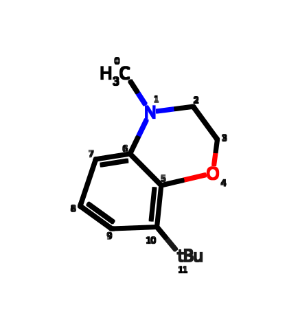 CN1CCOc2c1cccc2C(C)(C)C